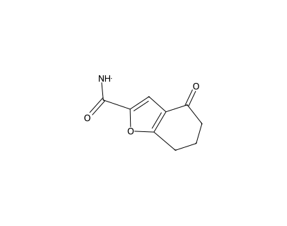 [NH]C(=O)c1cc2c(o1)CCCC2=O